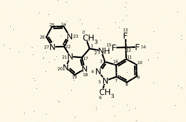 CC(Nc1nn(C)c2cccc(C(F)(F)F)c12)c1ncnn1-c1ncccn1